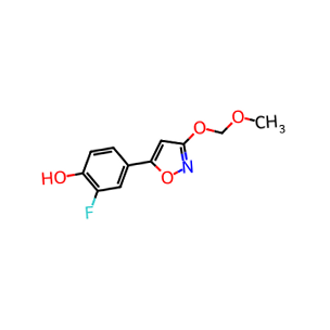 COCOc1cc(-c2ccc(O)c(F)c2)on1